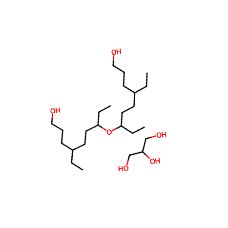 CCC(CCCO)CCC(CC)OC(CC)CCC(CC)CCCO.OCC(O)CO